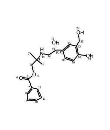 CC(C)(COC(=O)c1ccccc1)NC[C@H](O)c1ccc(O)c(CO)c1